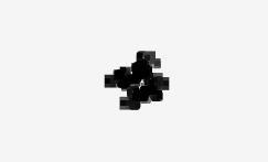 Cc1cc(Cc2c[nH]cn2)c(C)s1.O=C(O)C=CC(=O)O